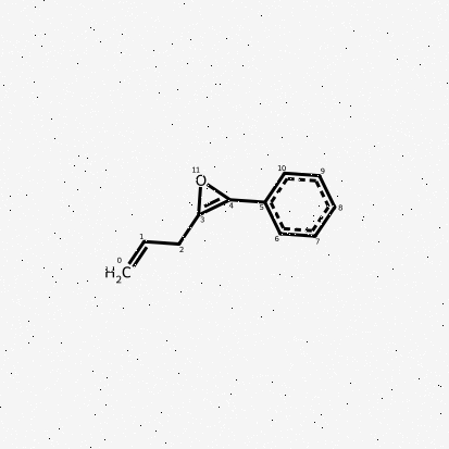 C=CCC1=C(c2ccccc2)O1